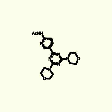 CC(=O)Nc1ccc(-c2nc(N3CCOCC3)nc(N3CCOCC3)n2)cn1